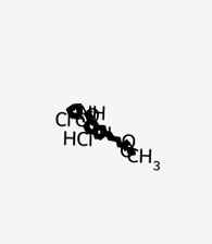 CCOC(=O)CCCCN1CCc2ccc(S(=O)(=O)Nc3cccc(Cl)c3)cc2C1.Cl